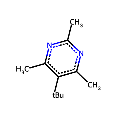 Cc1nc(C)c(C(C)(C)C)c(C)n1